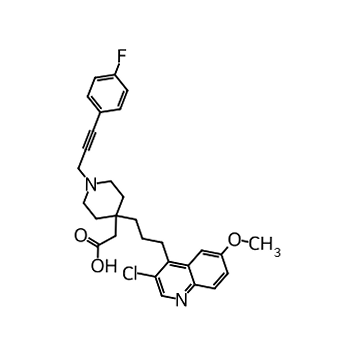 COc1ccc2ncc(Cl)c(CCCC3(CC(=O)O)CCN(CC#Cc4ccc(F)cc4)CC3)c2c1